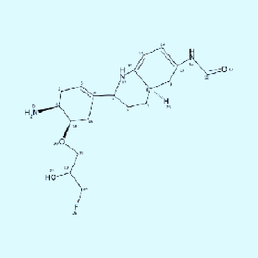 N[C@H]1CC=C(C2CC[C@@H]3CC(NC=O)=CC=C3N2)C[C@H]1OCC(O)CF